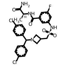 C[C@H](NC(=O)c1cc(F)cc(NS(=O)(=O)CC2CN(C(c3ccc(Cl)cc3)c3ccc(Cl)cc3)C2)c1)C(N)=O